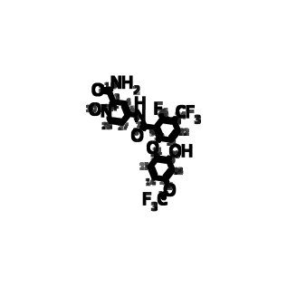 NC(=O)c1cc(NC(=O)c2c(Oc3ccc(OC(F)(F)F)cc3O)ccc(C(F)(F)F)c2F)cc[n+]1[O-]